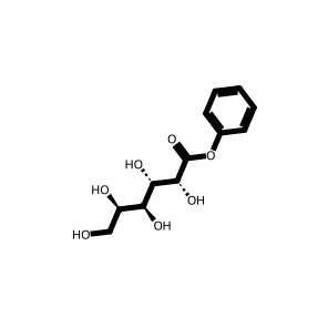 O=C(Oc1ccccc1)[C@H](O)[C@@H](O)[C@@H](O)[C@H](O)CO